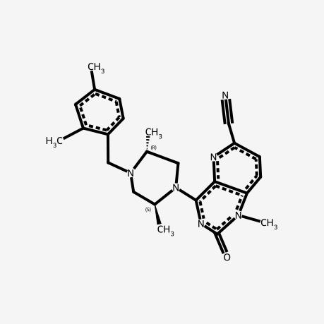 Cc1ccc(CN2C[C@H](C)N(c3nc(=O)n(C)c4ccc(C#N)nc34)C[C@H]2C)c(C)c1